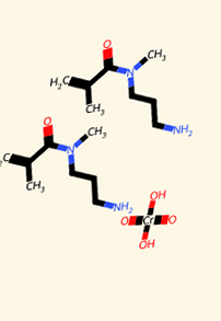 C=C(C)C(=O)N(C)CCCN.C=C(C)C(=O)N(C)CCCN.[O]=[Cr](=[O])([OH])[OH]